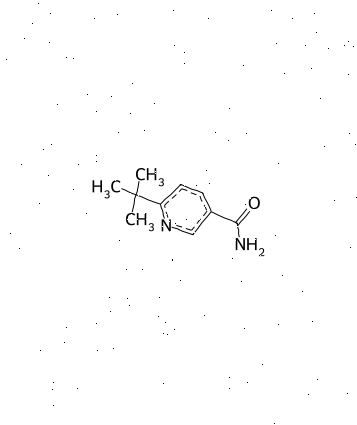 CC(C)(C)c1ccc(C(N)=O)cn1